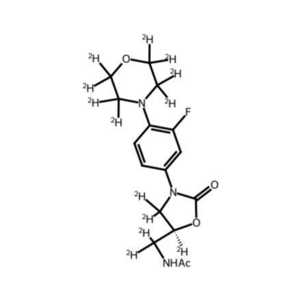 [2H]C1([2H])OC([2H])([2H])C([2H])([2H])N(c2ccc(N3C(=O)O[C@@]([2H])(C([2H])([2H])NC(C)=O)C3([2H])[2H])cc2F)C1([2H])[2H]